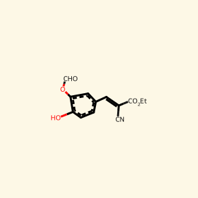 CCOC(=O)/C(C#N)=C/c1ccc(O)c(OC=O)c1